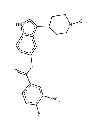 CN1CCC(c2c[nH]c3ccc(NC(=O)c4ccc(Cl)c([N+](=O)[O-])c4)cc23)CC1